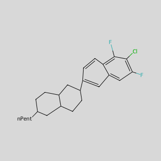 CCCCCC1CCC2CC(c3ccc4c(F)c(Cl)c(F)cc4c3)CCC2C1